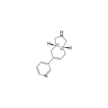 C1=C(c2cccnc2)C[C@@H]2CNC[C@@H]2C1